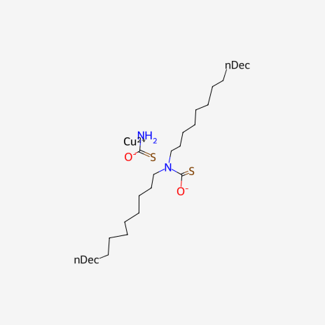 CCCCCCCCCCCCCCCCCCN(CCCCCCCCCCCCCCCCCC)C([O-])=S.NC([O-])=S.[Cu+2]